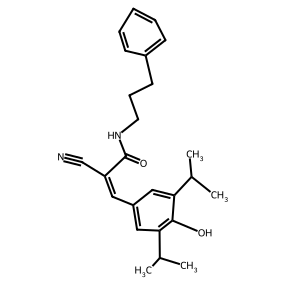 CC(C)c1cc(C=C(C#N)C(=O)NCCCc2ccccc2)cc(C(C)C)c1O